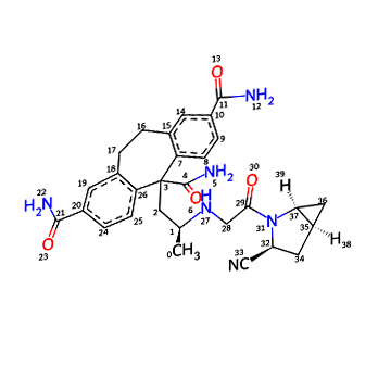 C[C@@H](CC1(C(N)=O)c2ccc(C(N)=O)cc2CCc2cc(C(N)=O)ccc21)NCC(=O)N1[C@H](C#N)C[C@@H]2C[C@@H]21